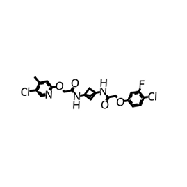 Cc1cc(OCC(=O)NC23CC(NC(=O)COc4ccc(Cl)c(F)c4)(C2)C3)ncc1Cl